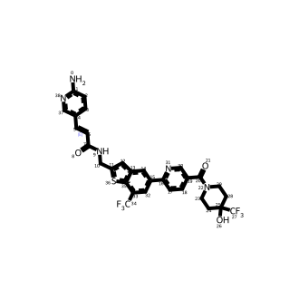 Nc1ccc(/C=C/C(=O)NCc2cc3cc(-c4ccc(C(=O)N5CCC(O)(C(F)(F)F)CC5)cn4)cc(C(F)(F)F)c3s2)cn1